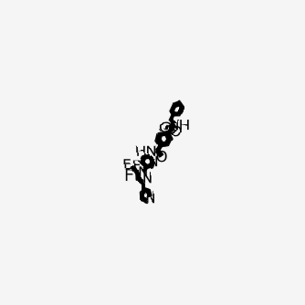 O=C(Nc1ccc(-n2nc(-c3cccnc3)cc2C(F)(F)F)cn1)c1ccc(S(=O)(=O)NCc2ccccc2)cc1